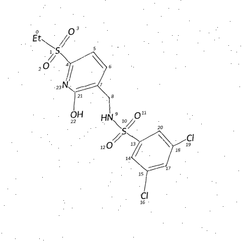 CCS(=O)(=O)c1ccc(CNS(=O)(=O)c2cc(Cl)cc(Cl)c2)c(O)n1